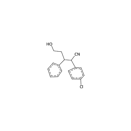 N#CC(c1ccc(Cl)cc1)C(CCO)c1ccccc1